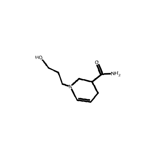 NC(=O)C1CC=CN(CCCO)C1